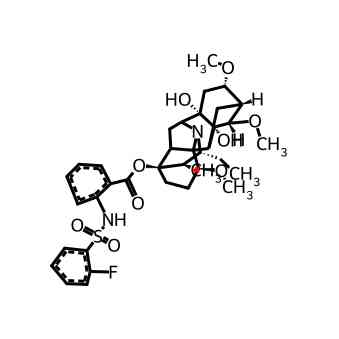 CC[C@@H]1[C@@H](C)[C@]2(OC(=O)c3ccccc3NS(=O)(=O)c3ccccc3F)CC[C@H](OC)C34C2CC(N13)[C@@]1(O)C[C@H](OC)[C@H]2CC4[C@]1(O)[C@H]2OC